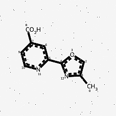 Cc1coc(-c2cc(C(=O)O)ccn2)n1